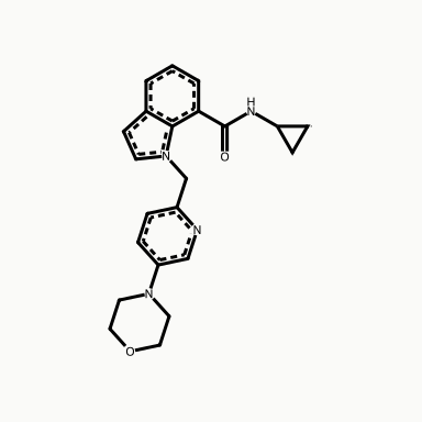 O=C(NC1[CH]C1)c1cccc2ccn(Cc3ccc(N4CCOCC4)cn3)c12